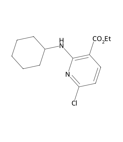 CCOC(=O)c1ccc(Cl)nc1NC1CCCCC1